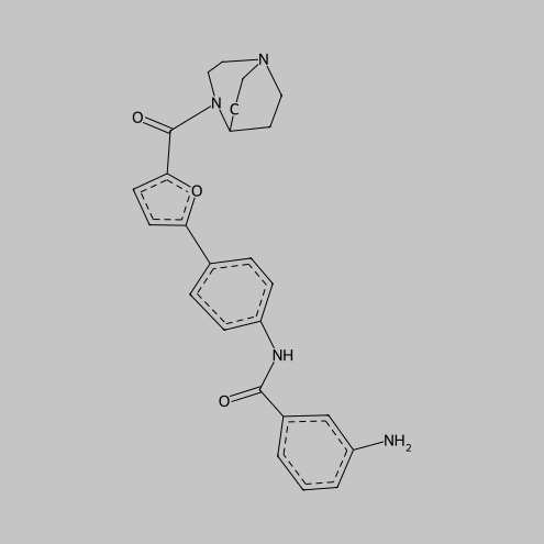 Nc1cccc(C(=O)Nc2ccc(-c3ccc(C(=O)N4CCN5CCC4CC5)o3)cc2)c1